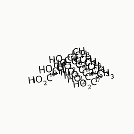 CC(=O)O.CC(=O)O.CC(=O)O.CC(=O)O.CC(=O)O.CC(=O)O.CC(=O)O.CC(=O)O.CC(=O)O